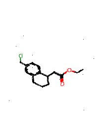 CCOC(=O)CC1CCCc2cc(CCl)ccc21